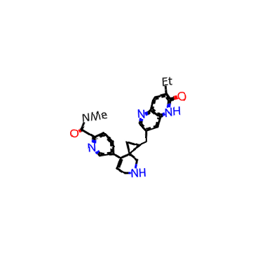 CCc1cc2ncc(CC3CC34CNCC=C4c3ccc(C(=O)NC)nc3)cc2[nH]c1=O